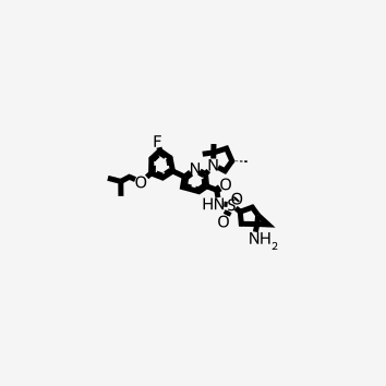 CC(C)COc1cc(F)cc(-c2ccc(C(=O)NS(=O)(=O)C3CC4CC4(N)C3)c(N3C[C@@H](C)CC3(C)C)n2)c1